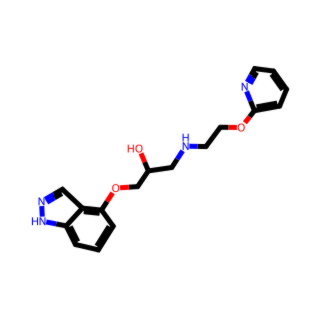 OC(CNCCOc1ccccn1)COc1cccc2[nH]ncc12